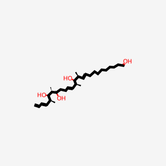 C=C/C=C/[C@H](C)[C@@H](O)[C@H](C)[C@H](O)CC/C=C/[C@H](C)[C@@H](O)[C@@H](C)/C=C/CCCCCCCCCO